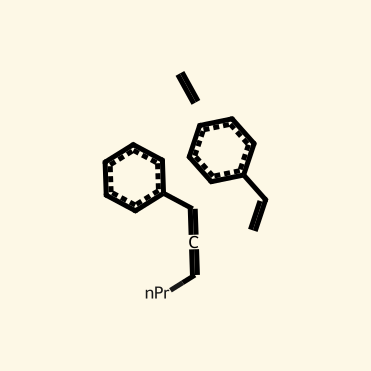 C=C.C=Cc1ccccc1.CCCC=C=Cc1ccccc1